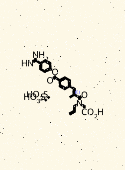 C=CCN(CC(=O)O)C(=O)/C(C)=C/c1ccc(C(=O)Oc2ccc(C(=N)N)cc2)cc1.CS(=O)(=O)O.CS(=O)(=O)O